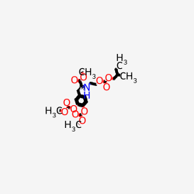 CCC(C)COC(=O)OCCN[C@@H](Cc1ccc(OC(=O)OC)c(OC(=O)OC)c1)C(=O)OC